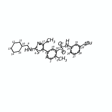 Cc1ccc(-c2sc(NCC3CCCCC3)nc2C)cc1S(=O)(=O)Nc1cccc(C(C)(C)C)c1